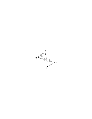 [F][Rh]12([CH2][CH2]1)[CH2][CH2]2